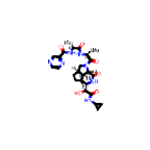 CCC12CC[C@H]3CN(C(=O)[C@@H](NC(=O)[C@@H](NC(=O)c4cnccn4)C(C)(C)C)C(C)(C)C)[C@H](C(=O)N[C@@H]1C(O)C(=O)NC1CC1)[C@H]32